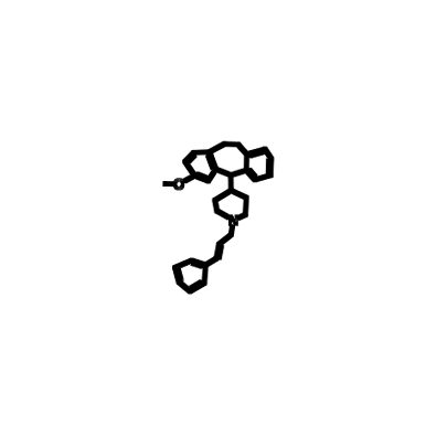 COc1ccc2c(c1)C(C1CCN(CC=Cc3ccccc3)CC1)c1ccccc1CC2